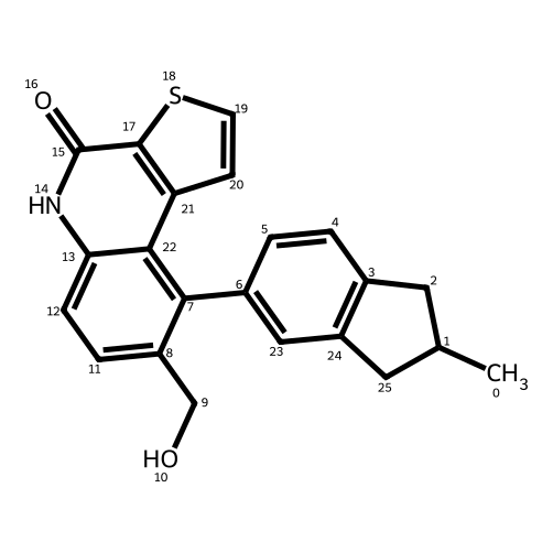 CC1Cc2ccc(-c3c(CO)ccc4[nH]c(=O)c5sccc5c34)cc2C1